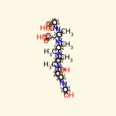 Cc1cc(N=Nc2cc(C)c(N=Nc3ccccc3S(=O)(=O)O)cc2CCCS(=O)(=O)O)c(C)cc1N=Nc1cc(C)c(N=Nc2ccc3cc(/N=N/c4ccc(O)cc4)ccc3c2O)cc1C